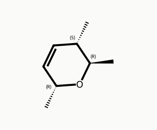 C[C@@H]1C=C[C@H](C)[C@@H](C)O1